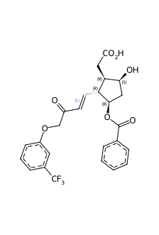 O=C(O)C[C@@H]1[C@@H](/C=C/C(=O)COc2cccc(C(F)(F)F)c2)[C@H](OC(=O)c2ccccc2)C[C@@H]1O